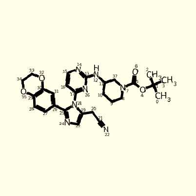 CC(C)(C)OC(=O)N1CCCC(Nc2nccc(-n3c(CC#N)cnc3-c3ccc4c(c3)OCCO4)n2)C1